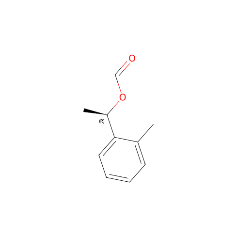 Cc1ccccc1[C@@H](C)OC=O